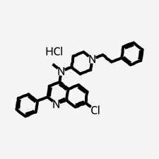 CN(c1cc(-c2ccccc2)nc2cc(Cl)ccc12)C1CCN(CCc2ccccc2)CC1.Cl